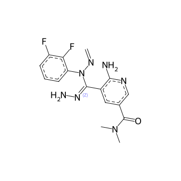 C=NN(/C(=N\N)c1cc(C(=O)N(C)C)cnc1N)c1cccc(F)c1F